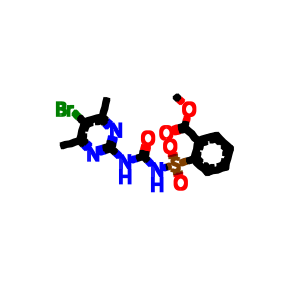 COC(=O)c1ccccc1S(=O)(=O)NC(=O)Nc1nc(C)c(Br)c(C)n1